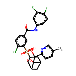 O=C(Nc1ccc(F)c(F)c1)c1ccc(Cl)c(S(=O)(=O)C2CC3CC(C2)C3(O)C(O)c2ccc(C(F)(F)F)cn2)c1